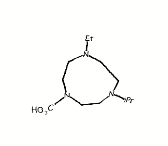 CCN1CCN(C(=O)O)CCN(C(C)C)CC1